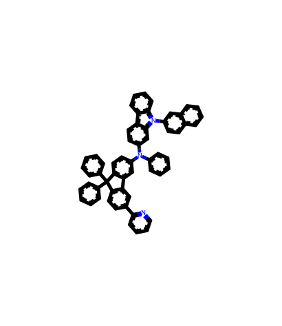 c1ccc(N(c2ccc3c(c2)-c2cc(-c4ccccn4)ccc2C3(c2ccccc2)c2ccccc2)c2ccc3c4ccccc4n(-c4ccc5ccccc5c4)c3c2)cc1